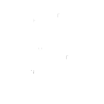 Cc1ccnc(OCC(F)F)c1F